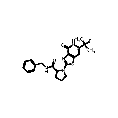 CC(C)(F)c1cc2sc(N3CCCC3C(=O)NCc3ccccc3)nc2c(=O)[nH]1